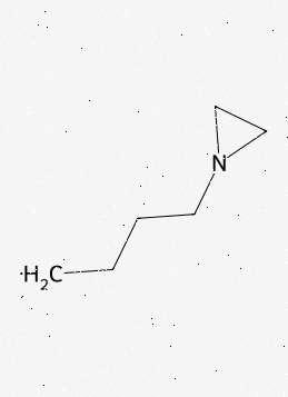 [CH2]CCCN1CC1